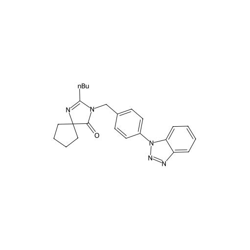 CCCCC1=NC2(CCCC2)C(=O)N1Cc1ccc(-n2nnc3ccccc32)cc1